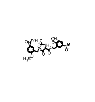 COc1ccc([N+](=O)[O-])cc1COC(=O)C(NC(C)=O)C(=O)OCc1cc([N+](=O)[O-])ccc1OC